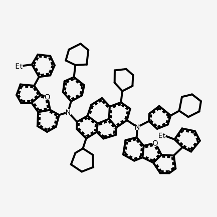 CCc1ccccc1-c1cccc2c1oc1c(N(c3ccc(C4CCCCC4)cc3)c3cc(C4CCCCC4)c4ccc5c(N(c6ccc(C7CCCCC7)cc6)c6cccc7c6oc6c(-c8ccccc8CC)cccc67)cc(C6CCCCC6)c6ccc3c4c65)cccc12